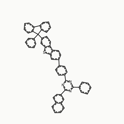 c1ccc(-c2nc(-c3ccc(-c4ccc5c(c4)sc4cc(C6(c7ccccc7)c7ccccc7-c7ccccc76)ccc45)cc3)nc(-c3ccc4ccccc4c3)n2)cc1